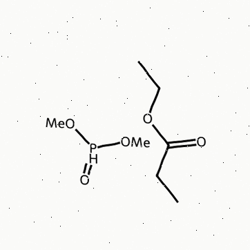 CCOC(=O)CC.CO[PH](=O)OC